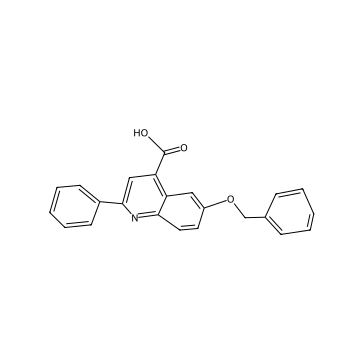 O=C(O)c1cc(-c2ccccc2)nc2ccc(OCc3ccccc3)cc12